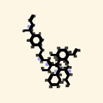 C=C/C=C(\C)c1ccc(C/C=C\C=C(/CC)B(C(/C(C)=C\CC)=C2\C=CC=CC2)c2c(C)ccc(C=C)c2C)cc1